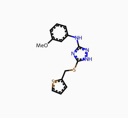 COc1cccc(Nc2n[nH]c(SCc3cccs3)n2)c1